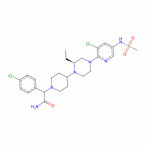 CC[C@H]1CN(c2ncc(NS(C)(=O)=O)cc2Cl)CCN1C1CCN(C(C(N)=O)c2ccc(Cl)cc2)CC1